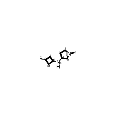 CN1CC[C@H](N[C@H]2C[C@H](C)C2)C1